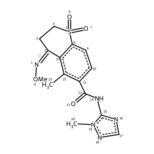 CO/N=C1/CCS(=O)(=O)c2ccc(C(=O)Nc3ncnn3C)c(C)c21